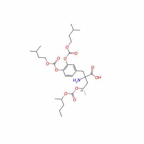 CCCC(C)OC(=O)O[C@@H](C)CC(N)(Cc1ccc(OC(=O)OCCC(C)C)c(OC(=O)OCCC(C)C)c1)C(=O)O